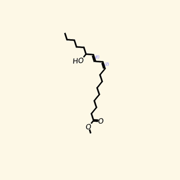 CCCCCC(O)/C=C/C=C\CCCCCCCC(=O)OC